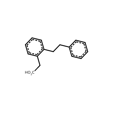 O=C(O)Cc1ccccc1CCc1ccccc1